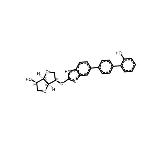 Oc1ccccc1-c1ccc(-c2ccc3[nH]c(O[C@@H]4CO[C@H]5[C@@H]4OC[C@H]5O)nc3c2)cc1